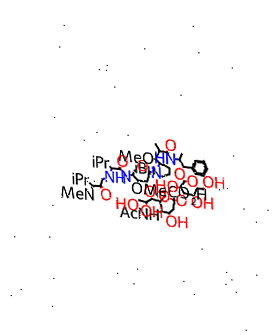 CCC(C)C(C(CC(=O)N1CCCC1C(OC)C(C)C(=O)NC(C)C(OC1OC(CO)C(O)C(OC2(C(=O)O)CC(O)C(NC(C)=O)C(C(O)C(O)CO)O2)C1O)c1ccccc1)OC)N(C)C(=O)C(NCC(=O)C(NC)C(C)C)C(C)C